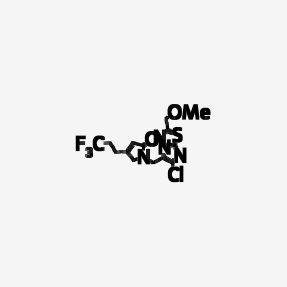 COCc1nn2c(CN3CC(CCC(F)(F)F)=CC3=O)c(Cl)nc2s1